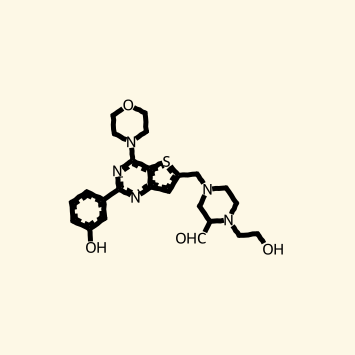 O=CC1CN(Cc2cc3nc(-c4cccc(O)c4)nc(N4CCOCC4)c3s2)CCN1CCO